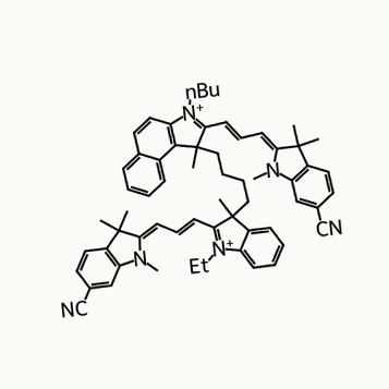 CCCC[N+]1=C(C=CC=C2N(C)c3cc(C#N)ccc3C2(C)C)C(C)(CCCCC2(C)C(C=CC=C3N(C)c4cc(C#N)ccc4C3(C)C)=[N+](CC)c3ccccc32)c2c1ccc1ccccc21